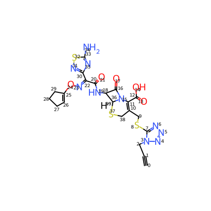 C#CCn1nnnc1SCC1=C(C(=O)O)N2C(=O)C(NC(=O)C(=NOC3=CCCC3)c3nsc(N)n3)[C@@H]2SC1